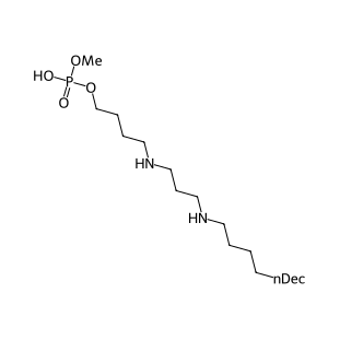 CCCCCCCCCCCCCCNCCCNCCCCOP(=O)(O)OC